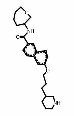 O=C(NC1CCCCCC1)c1ccc2cc(OCCCC3CCCNC3)ccc2c1